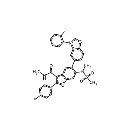 CNC(=O)c1c(-c2ccc(F)cc2)oc2cc(N(C)S(C)(=O)=O)c(-c3ccc4ncn(-c5ccccc5F)c4c3)cc12